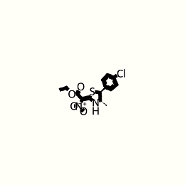 CCOC(=O)/C(=C1/N[C@@H](C)[C@H](c2ccc(Cl)cc2)S1)[N+](=O)[O-]